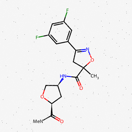 CNC(=O)[C@@H]1C[C@H](NC(=O)C2(C)CC(c3cc(F)cc(F)c3)=NO2)CO1